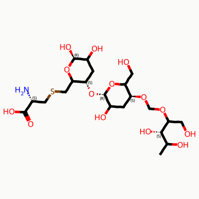 CC(O)[C@H](O)C(CO)OCO[C@H]1CC(O)[C@H](O[C@H]2CC(O)[C@H](O)OC2CSC[C@@H](N)C(=O)O)OC1CO